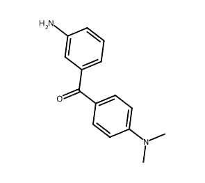 CN(C)c1ccc(C(=O)c2cccc(N)c2)cc1